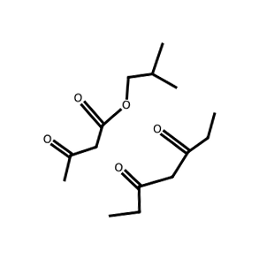 CC(=O)CC(=O)OCC(C)C.CCC(=O)CC(=O)CC